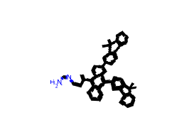 C=C(/C=C\N=C/N)c1c2ccccc2c(-c2ccc3c(c2)-c2ccccc2C3(C)C)c2cc(-c3ccc4c(c3)C(C)(C)c3ccccc3-4)ccc12